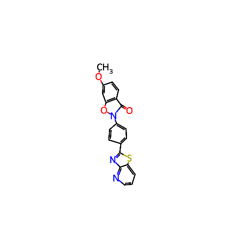 COc1ccc2c(=O)n(-c3ccc(-c4nc5ncccc5s4)cc3)oc2c1